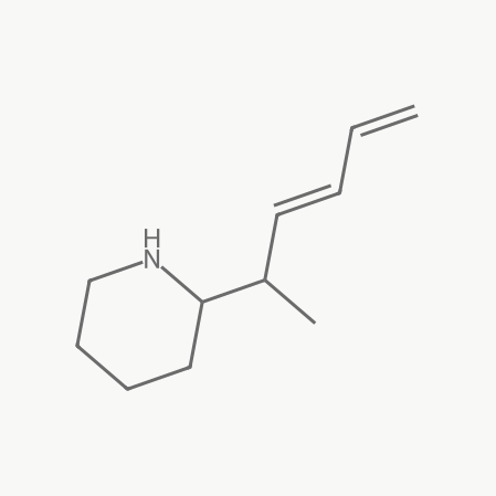 C=CC=CC(C)C1CCCCN1